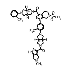 CN1Cc2[nH]nc(C(=O)N3C[C@@H]4CN(c5ccc(-n6nc(C(=O)N7C[C@@H]8CN(c9ccccc9C(F)(F)F)C[C@@H]8C7)c7c6CN(S(C)(=O)=O)CC7)cc5C(F)(F)F)C[C@@H]4C3)c2C1